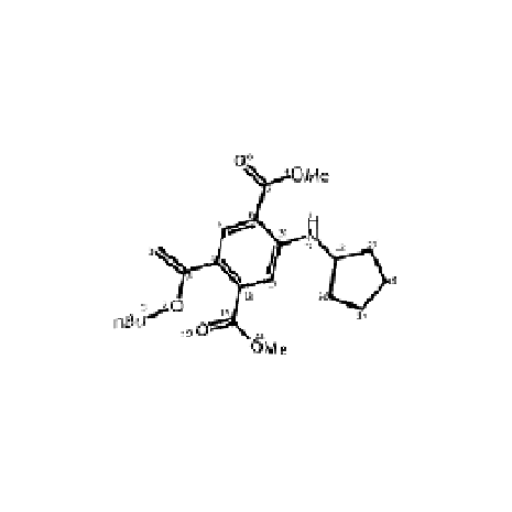 C=C(OCCCC)c1cc(C(=O)OC)c(NC2CCCC2)cc1C(=O)OC